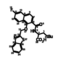 CC(C)(C)CC(NC(=O)c1ccc2cc(F)ccc2c1OCc1nc2ccccc2s1)C(=O)O